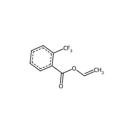 C=COC(=O)c1ccccc1C(F)(F)F